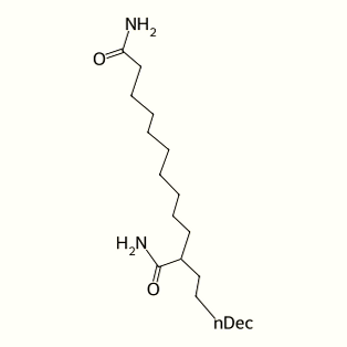 CCCCCCCCCCCCC(CCCCCCCCCC(N)=O)C(N)=O